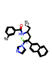 [2H]c1cccc(C(=O)NC(CC)C/C(=C(\F)n2ccnc2)c2ccc3ccccc3c2)c1